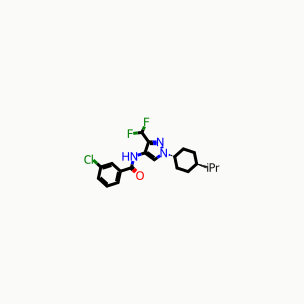 CC(C)[C@H]1CC[C@H](n2cc(NC(=O)c3cccc(Cl)c3)c(C(F)F)n2)CC1